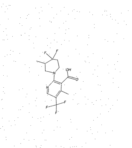 Cc1c(C(F)(F)F)cnc(N2CCC(F)(F)C(C)C2)c1C(=O)O